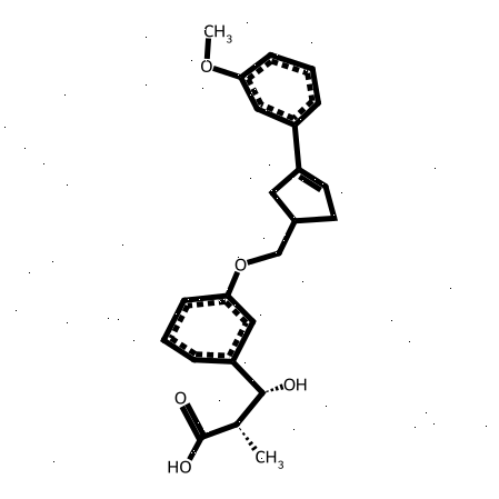 COc1cccc(C2=CCC(COc3cccc([C@H](O)[C@H](C)C(=O)O)c3)C2)c1